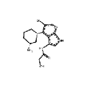 N[C@@H]1CCCN(c2c(Br)cnc3[nH]cc(NC(=O)CO)c23)C1